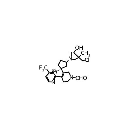 CC(C)[C@]1(C2=C(c3cc(C(F)(F)F)ccn3)CCN(C=O)C2)CC[C@@H](NCC(C)(CO)CCl)C1